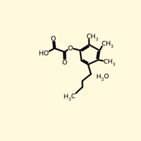 CCCCc1cc(OC(=O)C(=O)O)c(C)c(C)c1C.O